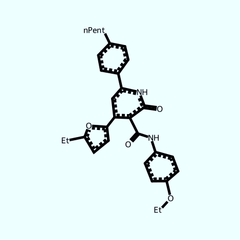 CCCCCc1ccc(-c2cc(-c3ccc(CC)o3)c(C(=O)Nc3ccc(OCC)cc3)c(=O)[nH]2)cc1